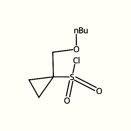 CCCCOCC1(S(=O)(=O)Cl)CC1